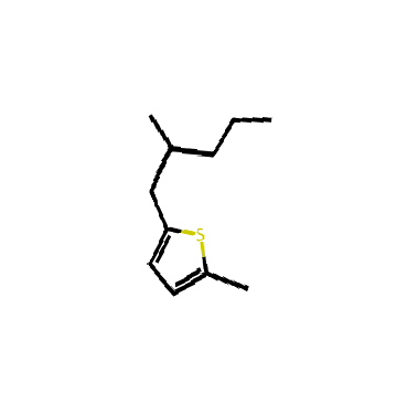 CCCC(C)Cc1ccc(C)s1